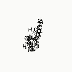 Cc1c(OCc2cnco2)ccc2c1CCN(C[C@@H](O)CNC(=O)c1cc(NC3CC(C(=O)N4CCC4)C3)ncn1)C2